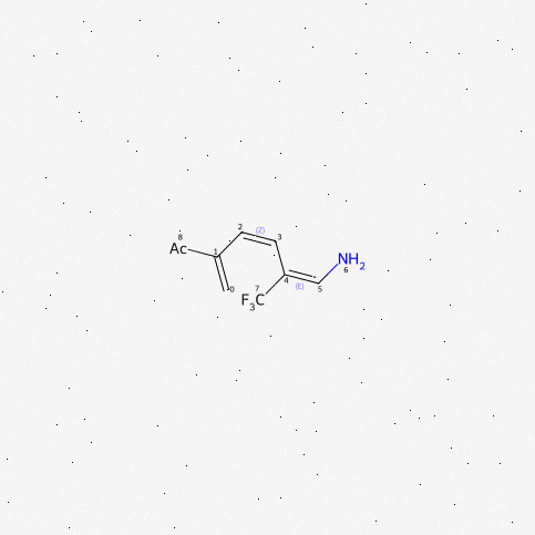 C=C(/C=C\C(=C/N)C(F)(F)F)C(C)=O